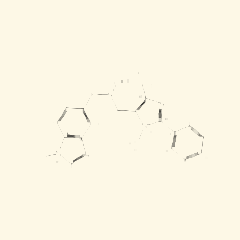 CCCCN(Cc1ccc2c(ccn2C)c1)Cc1c(C(F)(F)F)nc(-c2ccccc2)n1CCCC